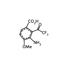 COc1ccc(C(=O)O)c(C(=O)C(F)(F)F)c1N